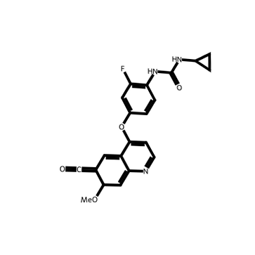 COC1C=c2nccc(Oc3ccc(NC(=O)NC4CC4)c(F)c3)c2=CC1=C=O